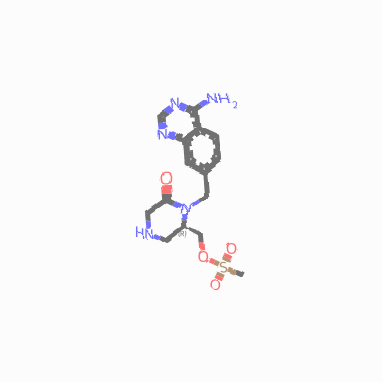 CS(=O)(=O)OC[C@H]1CNCC(=O)N1Cc1ccc2c(N)ncnc2c1